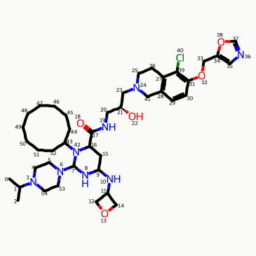 CC(C)N1CCN(C2NC(NC3COC3)CC(C(=O)NC[C@H](O)CN3CCc4c(ccc(OCc5cnco5)c4Cl)C3)N2C2CCCCCCCCC2)CC1